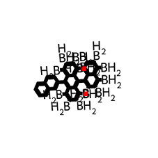 Bc1c(B)c(B)c2c(-c3c4c(B)c(B)c(B)c(B)c4c(-c4ccc5ccccc5c4)c4c(B)c(B)c(B)c(B)c34)c(B)c(B)c(B)c2c1B